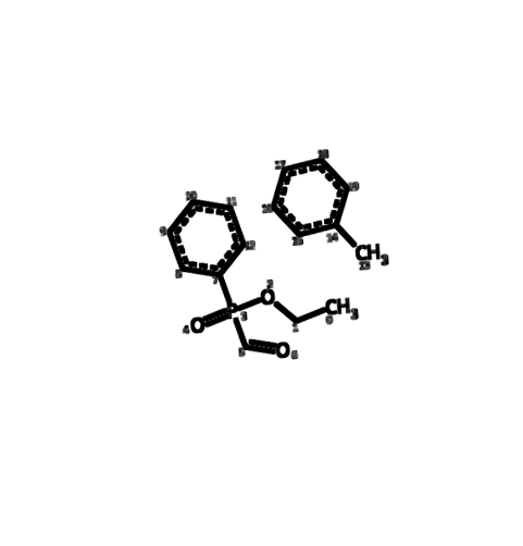 CCOP(=O)(C=O)c1ccccc1.Cc1ccccc1